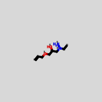 C=CCOCC(O)CN(N)CC